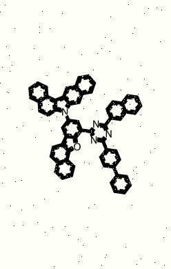 c1ccc(-c2ccc(-c3nc(-c4ccc5ccccc5c4)nc(-c4cc(-n5c6cc7ccccc7cc6c6c7ccccc7ccc65)cc5c4oc4c6ccccc6ccc54)n3)cc2)cc1